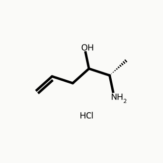 C=CCC(O)[C@H](C)N.Cl